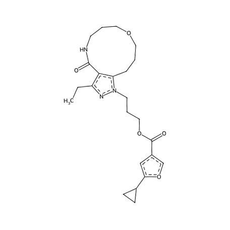 CCc1nn(CCCOC(=O)c2coc(C3CC3)c2)c2c1C(=O)NCCCOCCC2